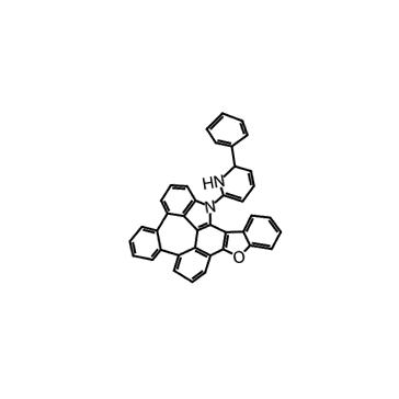 C1=CC(c2ccccc2)NC(n2c3cccc4c3c3c5c(cccc5c5oc6ccccc6c5c32)-c2ccccc2-4)=C1